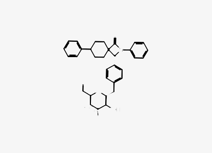 O=C1N(c2ccccc2)[C@H](c2ccc(C[C@@H]3OC(CO)[C@@H](O)[C@H](O)C3O)cc2)C12CCC(c1ccccc1)CC2